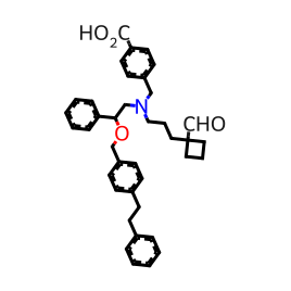 O=CC1(CCCN(Cc2ccc(C(=O)O)cc2)CC(OCc2ccc(CCc3ccccc3)cc2)c2ccccc2)CCC1